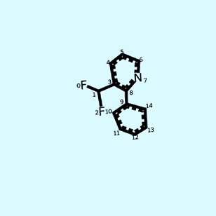 FC(F)c1cccnc1-c1ccccc1